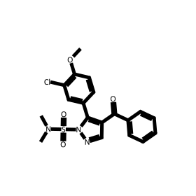 COc1ccc(-c2c(C(=O)c3ccccc3)cnn2S(=O)(=O)N(C)C)cc1Cl